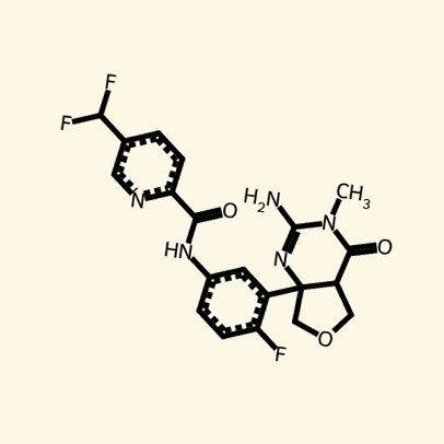 CN1C(=O)C2COCC2(c2cc(NC(=O)c3ccc(C(F)F)cn3)ccc2F)N=C1N